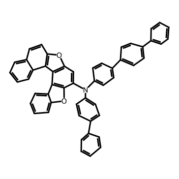 c1ccc(-c2ccc(-c3ccc(N(c4ccc(-c5ccccc5)cc4)c4cc5oc6ccc7ccccc7c6c5c5c4oc4ccccc45)cc3)cc2)cc1